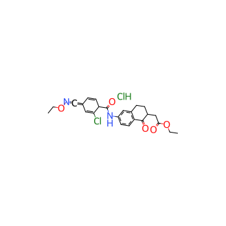 CCON=C=C1C=CC(C(=O)Nc2ccc3c(c2)CCC(CC(=O)OCC)C3=O)C(Cl)=C1.Cl